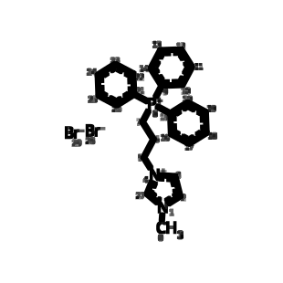 Cn1cc[n+](CCC[P+](c2ccccc2)(c2ccccc2)c2ccccc2)c1.[Br-].[Br-]